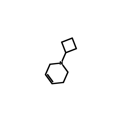 C1=CCN(C2CCC2)CC1